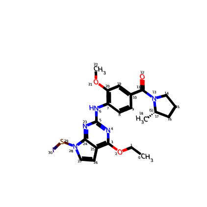 CCOc1nc(Nc2ccc(C(=O)N3CCC[C@@H]3C)cc2OC)nc2c1ccn2SI